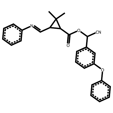 CC1(C)C(C=Nc2ccccc2)C1C(=O)OC(C#N)c1cccc(Oc2ccccc2)c1